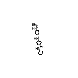 CC(C)(C)SNC1=CC[C@H](CNc2ccc(C(=O)NC3CCCCC3)cc2)C=C1